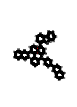 c1ccc(-c2ccccc2N(c2ccc(-c3ccc4ccccc4c3)cc2)c2ccc(-c3cccc4c3oc3ccccc34)cc2)c(-c2ccc3ccccc3c2)c1